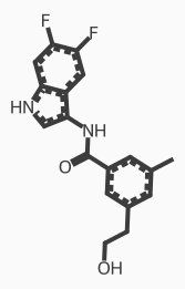 Cc1cc(CCO)cc(C(=O)Nc2c[nH]c3cc(F)c(F)cc23)c1